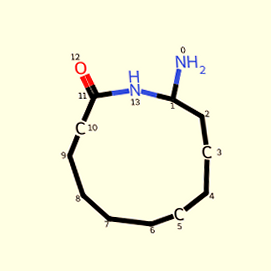 NC1CCCCCCCCCC(=O)N1